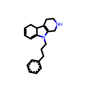 C1=CCC2C(=C1)N(CCCc1ccccc1)C1=C2CCNC1